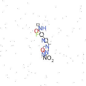 CC(c1ccc(-c2ccc(C(=O)NC3CCC3)c(F)c2)nc1)N1CCOc2nc([N+](=O)[O-])cn2CC1